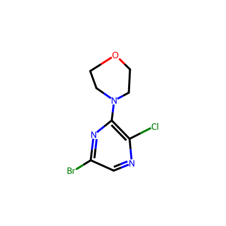 Clc1ncc(Br)nc1N1CCOCC1